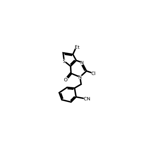 CCc1csc2c(=O)n(Cc3ccccc3C#N)c(Cl)nc12